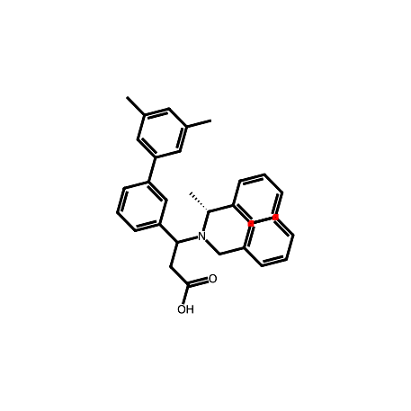 Cc1cc(C)cc(-c2cccc(C(CC(=O)O)N(Cc3ccccc3)[C@H](C)c3ccccc3)c2)c1